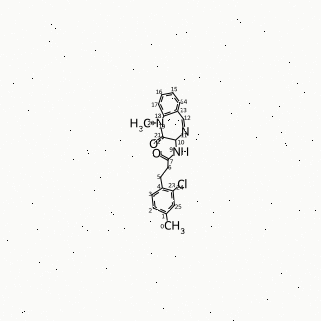 Cc1ccc(CCC(=O)NC2N=Cc3ccccc3N(C)C2=O)c(Cl)c1